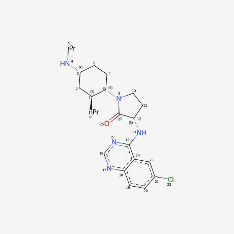 CCC[C@H]1C[C@H](NC(C)C)CC[C@@H]1N1CC[C@H](Nc2ncnc3ccc(Cl)cc23)C1=O